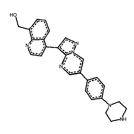 OCc1cccc2c(-c3cnn4cc(-c5ccc(N6CCNCC6)cc5)cnc34)ccnc12